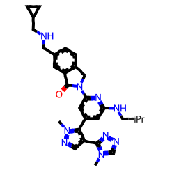 CC(C)CNc1cc(-c2c(-c3nncn3C)cnn2C)cc(N2Cc3ccc(CNCC4CC4)cc3C2=O)n1